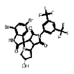 O=C1C2C3C[C@H](O)CN3C3(C(=O)Nc4c(Br)cc(Br)cc43)C2C(=O)N1c1cc(C(F)(F)F)cc(C(F)(F)F)c1